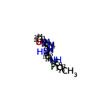 Cc1ccc(C(F)(F)CN[C@H]2CC[C@H](Nc3ncnc4nn(C5CCCCO5)cc34)C2)cc1